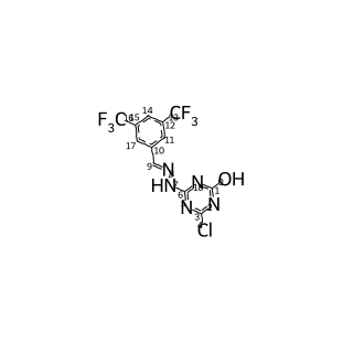 Oc1nc(Cl)nc(NN=Cc2cc(C(F)(F)F)cc(C(F)(F)F)c2)n1